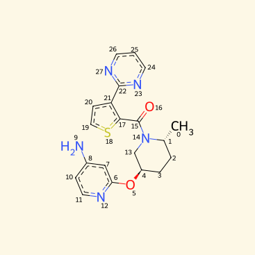 C[C@@H]1CC[C@@H](Oc2cc(N)ccn2)CN1C(=O)c1sccc1-c1ncccn1